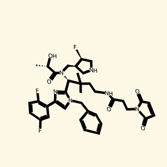 C[C@H](O)C(=O)N(C[C@@H]1CNC[C@@H]1F)[C@@H](c1nc(-c2cc(F)ccc2F)cn1Cc1ccccc1)C(C)(C)CCNC(=O)CCN1C(=O)C=CC1=O